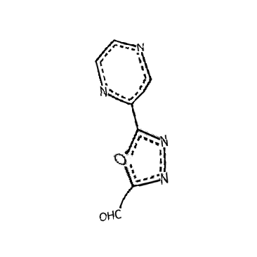 O=Cc1nnc(-c2cnccn2)o1